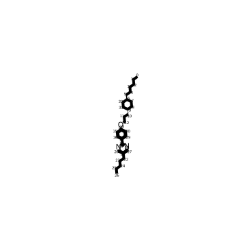 CCCCCC[C@H]1CC[C@H](CCCOc2ccc(-c3ncc(CCCCC)cn3)cc2)CC1